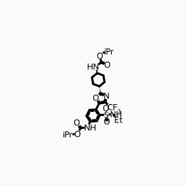 CCNS(=O)(=O)c1cc(NC(=O)OC(C)C)ccc1-c1oc([C@H]2CC[C@H](NC(=O)OC(C)C)CC2)nc1C(F)(F)F